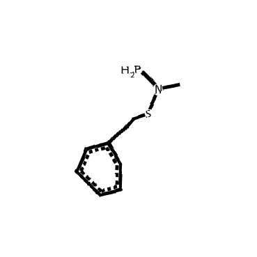 CN(P)SCc1ccccc1